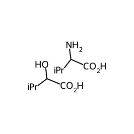 CC(C)C(N)C(=O)O.CC(C)C(O)C(=O)O